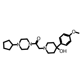 COc1ccc(C2(O)CCN(CC(=O)N3CCN(C4CCCC4)CC3)CC2)cc1